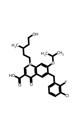 CC(CCO)CCn1cc(C(=O)O)c(=O)c2cc(Cc3cccc(Cl)c3F)c(OC(C)C)cc21